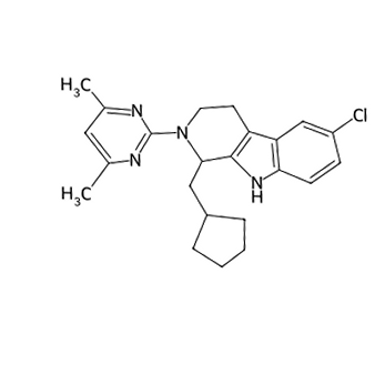 Cc1cc(C)nc(N2CCc3c([nH]c4ccc(Cl)cc34)C2CC2CCCC2)n1